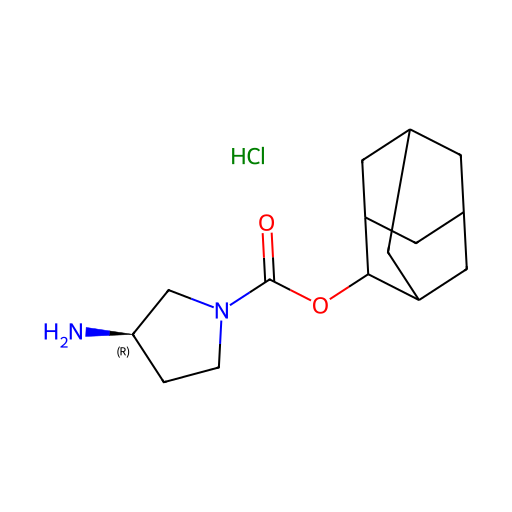 Cl.N[C@@H]1CCN(C(=O)OC2C3CC4CC(C3)CC2C4)C1